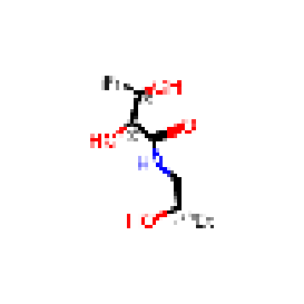 CC[C@H](O)CNC(=O)[C@@H](O)[C@H](O)C(C)C